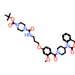 COc1cc(OCCCNC(=O)N2CCN(C(=O)OC(C)(C)C)CC2)ccc1C(=O)N1CCC(N2C(=O)OCc3ccccc32)CC1